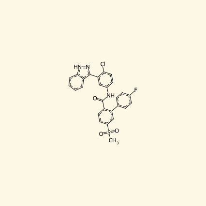 CS(=O)(=O)c1ccc(C(=O)Nc2ccc(Cl)c(-c3n[nH]c4ccccc34)c2)c(-c2ccc(F)cc2)c1